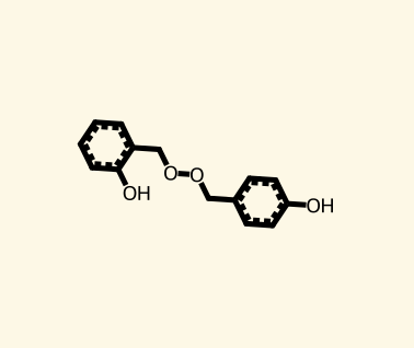 Oc1ccc(COOCc2ccccc2O)cc1